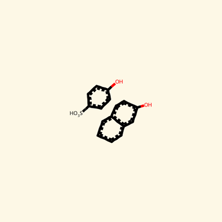 O=S(=O)(O)c1ccc(O)cc1.Oc1ccc2ccccc2c1